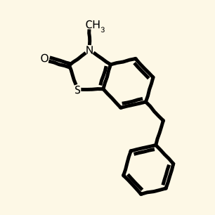 Cn1c(=O)sc2cc(Cc3ccccc3)ccc21